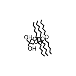 CCCCCCOCCCCCC.CCCCCCOCCCCCC.CCCCCCOCCCCCC.OCC(CO)(CO)CO